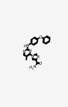 Cc1cnc(Nc2ccc(Oc3ccccc3)cc2)nc1-n1cnc(C(N)=O)c1